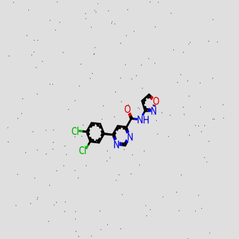 O=C(Nc1ccon1)c1cc(-c2ccc(Cl)c(Cl)c2)ncn1